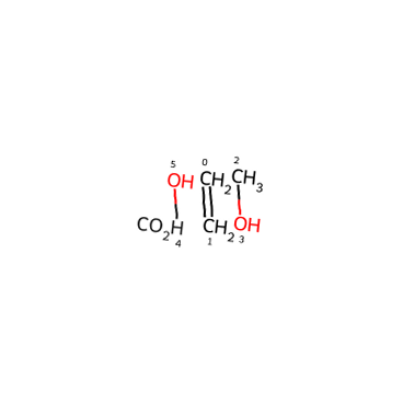 C=C.CO.O=C(O)O